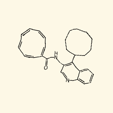 O=C(Nc1cnc2ccccc2c1C1CCCCCCCC1)c1ccccccccc1